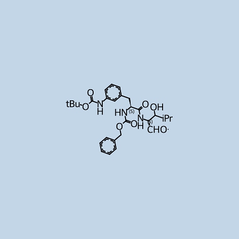 CC(C)C(O)[C@@H]([C]=O)NC(=O)[C@H](Cc1cccc(NC(=O)OC(C)(C)C)c1)NC(=O)OCc1ccccc1